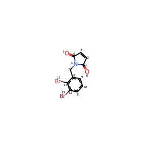 O=C1C=CC(=O)N1Cc1cccc(Br)c1Br